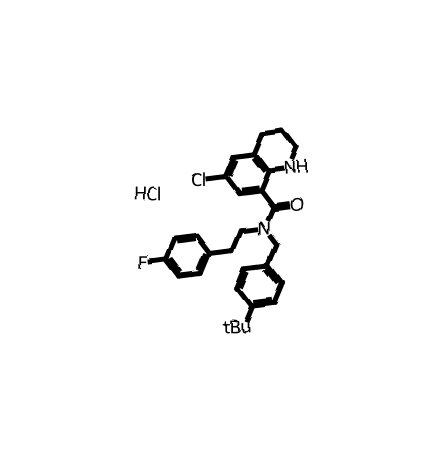 CC(C)(C)c1ccc(CN(CCc2ccc(F)cc2)C(=O)c2cc(Cl)cc3c2NCCC3)cc1.Cl